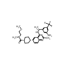 COCCN(C)C(=O)[C@H]1CC[C@H](c2ccc3nc(C)nc(N[C@H](C)c4cc(N)cc(C(F)(F)F)c4)c3c2)CC1